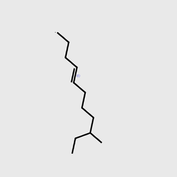 [CH2]CC/C=C/CCCC(C)CC